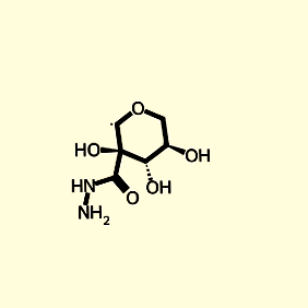 NNC(=O)[C@]1(O)[CH]OC[C@@H](O)[C@@H]1O